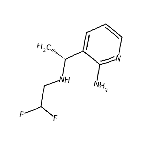 C[C@@H](NCC(F)F)c1cccnc1N